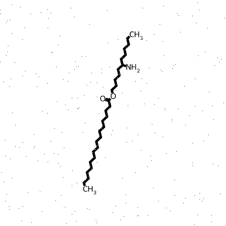 CCCCCCCCCCCCCCCCCC(=O)OCCCCCC(N)CCCCCC